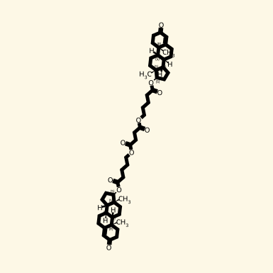 C[C@]12CC[C@H]3[C@@H](CCC4=CC(=O)CC[C@@]43C)[C@@H]1CC[C@@H]2OC(=O)CCCCOC(=O)CCC(=O)OCCCCC(=O)O[C@H]1CC[C@H]2[C@@H]3CCC4=CC(=O)CC[C@]4(C)[C@H]3CC[C@]12C